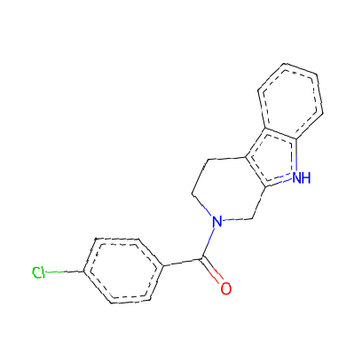 O=C(c1ccc(Cl)cc1)N1CCc2c([nH]c3ccccc23)C1